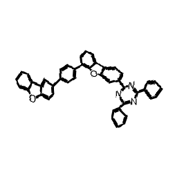 c1ccc(-c2nc(-c3ccccc3)nc(-c3ccc4c(c3)oc3c(-c5ccc(-c6ccc7oc8ccccc8c7c6)cc5)cccc34)n2)cc1